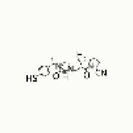 CC(c1ccc(S)cc1)N1C(=O)[C@@H]2CC1CN2CC(N)C(=O)N1CCCC1C#N